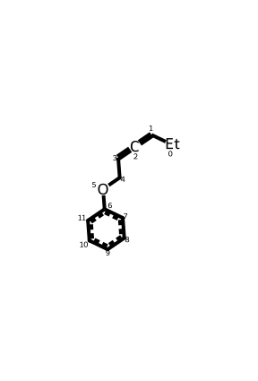 CCC=C=CCOc1ccccc1